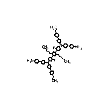 CCCCCCc1cc(-c2ccc(N(c3ccc(-c4ccc(N)cc4)cc3)c3ccc(-c4ccc(CCC)cc4)cc3)cc2F)c(CCCCCC)cc1-c1ccc(N(c2ccc(-c3ccc(N)cc3)cc2)c2ccc(-c3ccc(CCC)cc3)cc2)cc1F